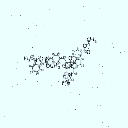 CCOC(=O)[C@H]1CC[C@H](OC(C(=O)Cc2ccc(NC(=O)c3cn(C)c4ccccc34)c(C)c2)(N2CCCC2)N2CCN(CC(F)(F)F)CC2)CC1